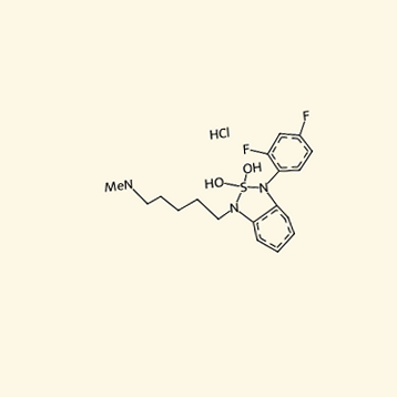 CNCCCCCN1c2ccccc2N(c2ccc(F)cc2F)S1(O)O.Cl